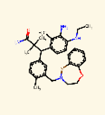 CCNc1ccc(C(c2ccc(C)c(CN3CCOc4ccccc4S3)c2)C(C)(C)C(N)=O)c(C)c1N